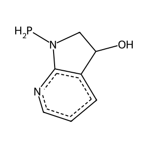 OC1CN(P)c2ncccc21